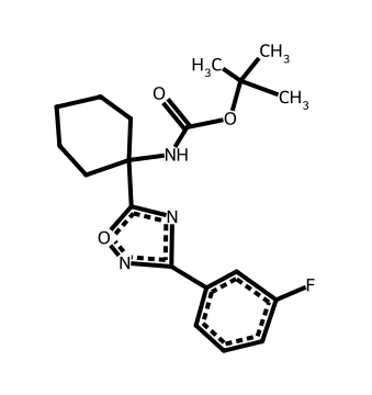 CC(C)(C)OC(=O)NC1(c2nc(-c3cccc(F)c3)no2)CCCCC1